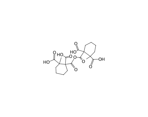 CC1(C(=O)O)CCCCC1(C(=O)O)C(=O)OC(=O)C1(C(=O)O)CCCCC1(C)C(=O)O